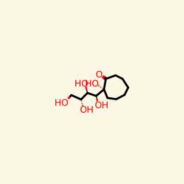 O=C1CCCCCC[C@@]1(O)[C@@H](O)[C@H](O)[C@H](O)CO